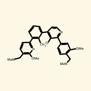 CNCc1ccc(-c2nccc(-c3cccc(-c4ccc(CNC)c(OC)n4)c3C)c2Cl)cc1OC